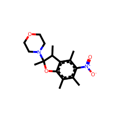 Cc1c(C)c([N+](=O)[O-])c(C)c2c1OC(C)(N1CCOCC1)C2C